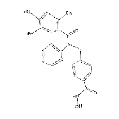 CC(C)c1cc(C(=O)N(Cc2ccc(C(=O)NO)cc2)c2ccccc2)c(O)cc1O